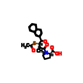 CC(=O)S[C@H](C(=O)c1ccc2ccccc2c1)[C@H](C)C(=O)N1CCC[C@H]1C(=O)O